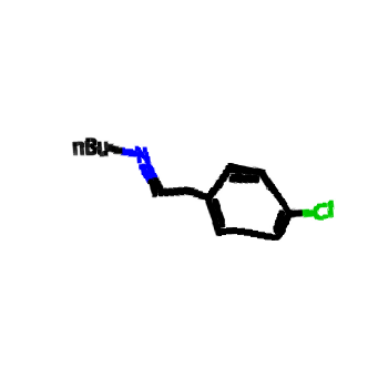 CCCCN=Cc1ccc(Cl)cc1